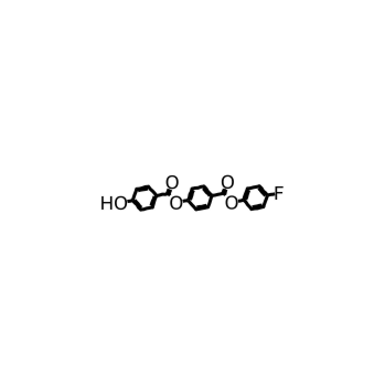 O=C(Oc1ccc(C(=O)Oc2ccc(F)cc2)cc1)c1ccc(O)cc1